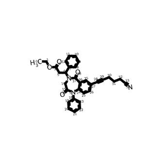 CCOC(=O)CC(c1ccccc1)N1CC(=O)N(c2ccccc2)c2ccc(C#CCCCC#N)cc2C1=O